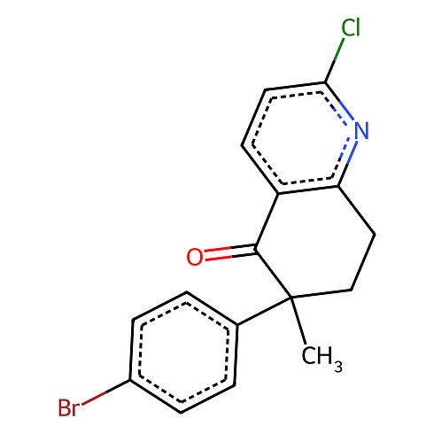 CC1(c2ccc(Br)cc2)CCc2nc(Cl)ccc2C1=O